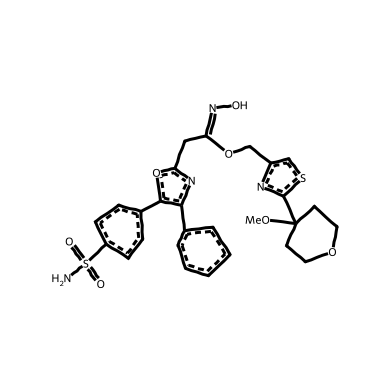 COC1(c2nc(COC(Cc3nc(-c4ccccc4)c(-c4ccc(S(N)(=O)=O)cc4)o3)=NO)cs2)CCOCC1